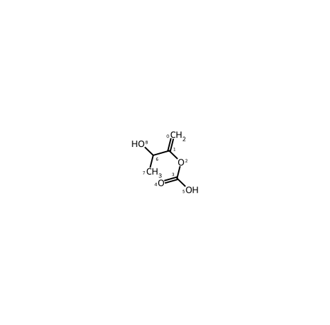 C=C(OC(=O)O)C(C)O